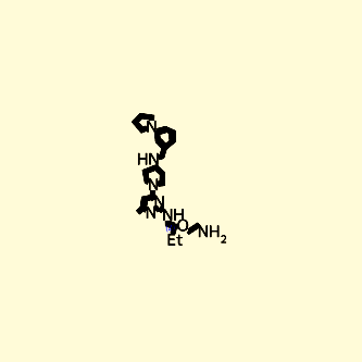 CC/C(=C/Nc1nc(C)cc(N2CCC(NCc3cccc(N4CCCC4)c3)CC2)n1)OCCN